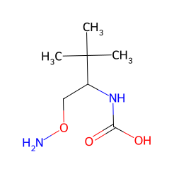 CC(C)(C)C(CON)NC(=O)O